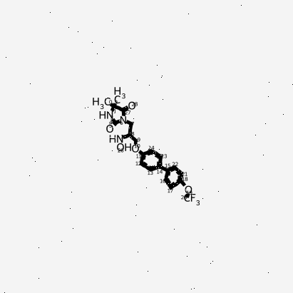 CC1(C)NC(=O)N(CC(COc2ccc(-c3ccc(OC(F)(F)F)cc3)cc2)NO)C1=O